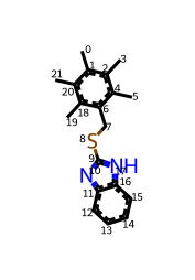 Cc1c(C)c(C)c(CSc2nc3ccccc3[nH]2)c(C)c1C